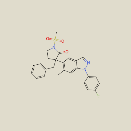 Cc1cc2c(cnn2-c2ccc(F)cc2)cc1C1(Cc2ccccc2)CCN(S(C)(=O)=O)C1=O